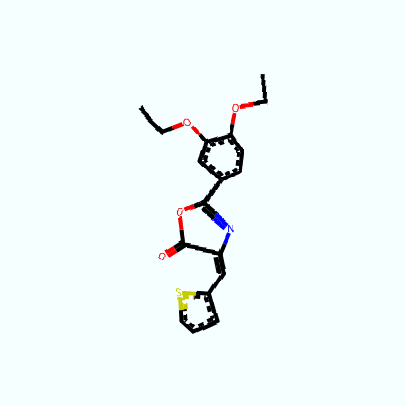 CCOc1ccc(C2=N/C(=C/c3cccs3)C(=O)O2)cc1OCC